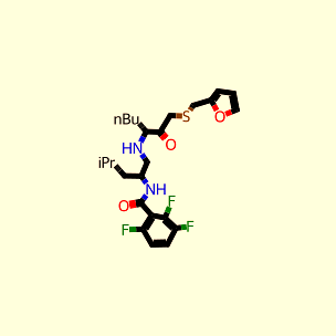 CCCCC(NCC(CC(C)C)NC(=O)c1c(F)ccc(F)c1F)C(=O)CSCc1ccco1